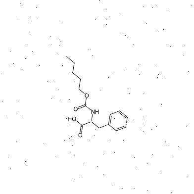 CCCCCOC(=O)NC(Cc1ccccc1)C(=O)O